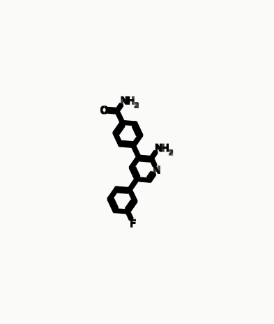 NC(=O)c1ccc(-c2cc(-c3cccc(F)c3)cnc2N)cc1